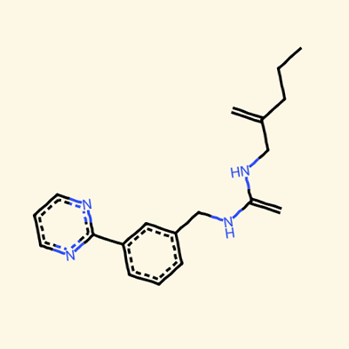 C=C(CCC)CNC(=C)NCc1cccc(-c2ncccn2)c1